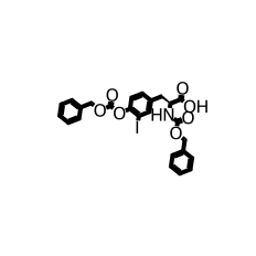 O=C(N[C@@H](Cc1ccc(OC(=O)OCc2ccccc2)c(I)c1)C(=O)O)OCc1ccccc1